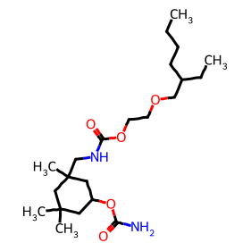 CCCCC(CC)COCCOC(=O)NCC1(C)CC(OC(N)=O)CC(C)(C)C1